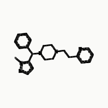 Cn1nccc1C(c1ccccc1)N1CCN(CCc2ccccn2)CC1